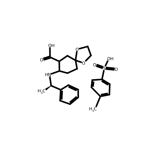 C[C@@H](NC1CCC2(CC1C(=O)O)OCCO2)c1ccccc1.Cc1ccc(S(=O)(=O)O)cc1